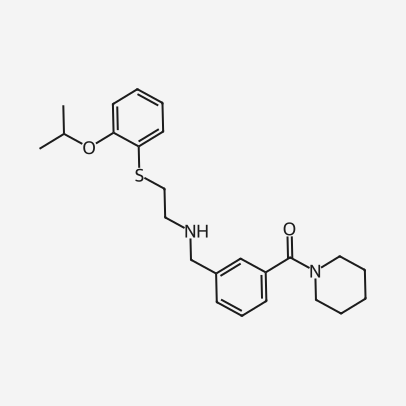 CC(C)Oc1ccccc1SCCNCc1cccc(C(=O)N2CCCCC2)c1